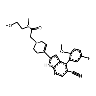 COc1ccc(F)cc1-c1c(C#N)cnc2[nH]c(C3=CCN(CC(=O)N(C)CCO)CC3)cc12